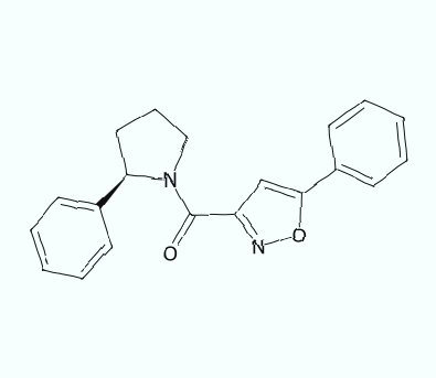 O=C(c1cc(-c2ccccc2)on1)N1CCC[C@@H]1c1ccccc1